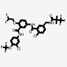 CC(C)(C(=O)NCc1ccc(Cl)c(C(=O)Nc2ccc(OCC(F)F)c(C(=O)Nc3ccc(OC(F)(F)F)c(Cl)c3)c2)c1)C(F)(F)F